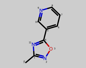 [CH2]c1noc(-c2cccnc2)n1